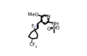 COc1cnc(NS(C)(=O)=O)cc1/C=C/[C@]1(F)CC[C@@H](C(F)(F)F)CC1